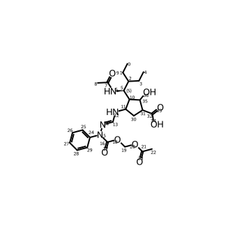 CCC(CC)[C@H](NC(C)=O)C1C(NC=NN(C(=O)OCOC(C)=O)c2ccccc2)CC(C(=O)O)C1O